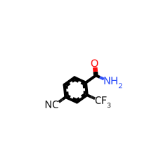 N#Cc1ccc(C(N)=O)c(C(F)(F)F)c1